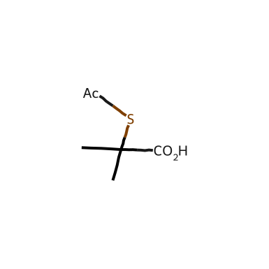 CC(=O)SC(C)(C)C(=O)O